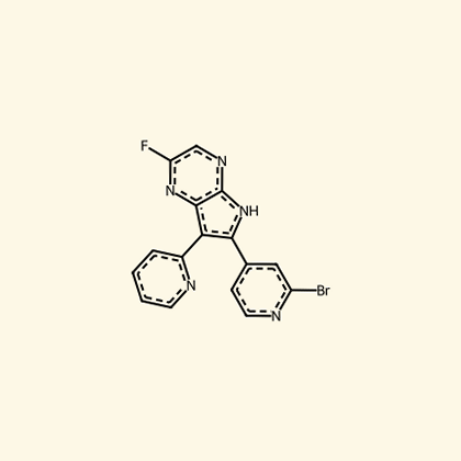 Fc1cnc2[nH]c(-c3ccnc(Br)c3)c(-c3ccccn3)c2n1